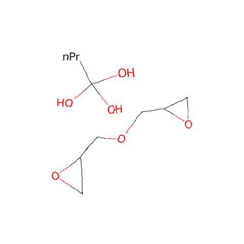 C(OCC1CO1)C1CO1.CCCC(O)(O)O